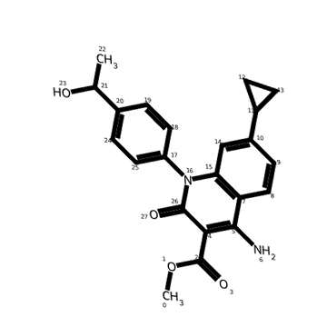 COC(=O)c1c(N)c2ccc(C3CC3)cc2n(-c2ccc(C(C)O)cc2)c1=O